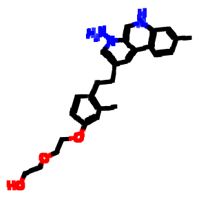 Cc1ccc2c(c1)NC=C1C2=CC(CCc2ccc(OCCOCCO)cc2C)=CN1N